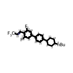 CCCCC1CCC(c2ccc(-c3cc(F)c(/C=C/C(F)(F)F)c(F)c3)cc2)CC1